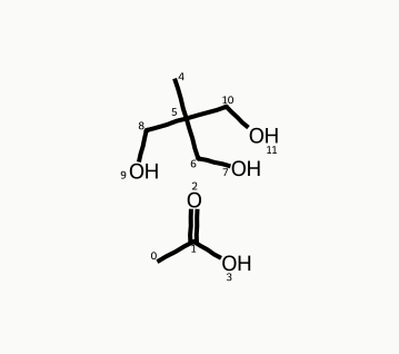 CC(=O)O.CC(CO)(CO)CO